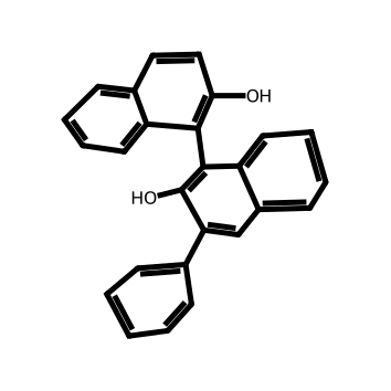 Oc1ccc2ccccc2c1-c1c(O)c(-c2ccccc2)cc2ccccc12